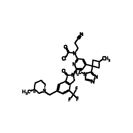 CC1CC(c2cc(N(CCC#N)C(=O)Cl)nc(N3Cc4c(cc(CN5CCC[C@H](C)C5)cc4C(F)(F)F)C3=O)c2)(c2nncn2C)C1